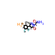 CC(C)c1nn(CC(N)=O)c(=O)cc1-c1cc(P)cc(F)c1F